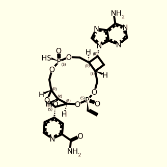 C=C[P@]1(=O)OC[C@H]2C[C@@H](n3cnc4c(N)ncnc43)[C@@H]2CO[P@](=O)(S)OC[C@H]2O[C@@H](c3ccnc(C(N)=O)c3)[C@H](O1)[C@@H]2O